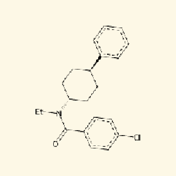 CCN(C(=O)c1ccc(Cl)cc1)[C@H]1CC[C@H](c2ccccc2)CC1